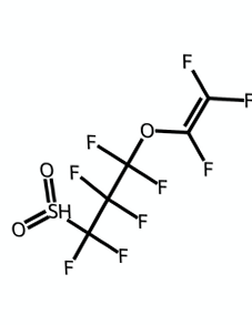 O=[SH](=O)C(F)(F)C(F)(F)C(F)(F)OC(F)=C(F)F